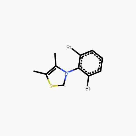 CCc1cccc(CC)c1N1CSC(C)=C1C